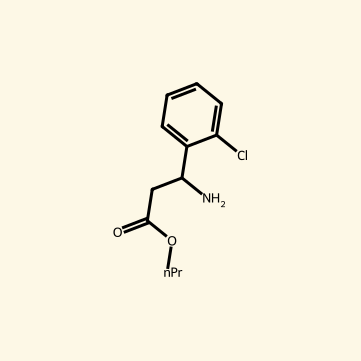 CCCOC(=O)CC(N)c1ccccc1Cl